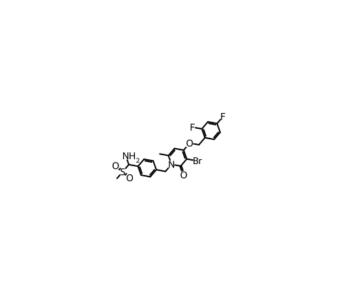 Cc1cc(OCc2ccc(F)cc2F)c(Br)c(=O)n1Cc1ccc(C(N)S(C)(=O)=O)cc1